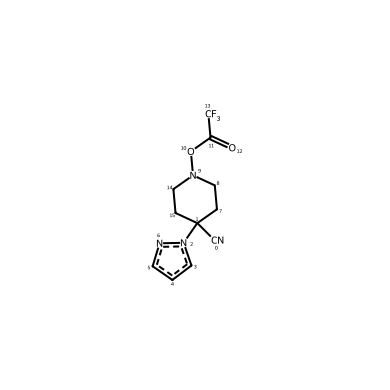 N#CC1(n2cccn2)CCN(OC(=O)C(F)(F)F)CC1